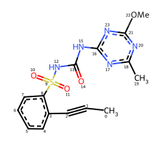 CC#Cc1ccccc1S(=O)(=O)NC(=O)Nc1nc(C)nc(OC)n1